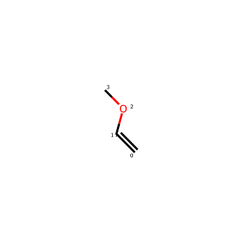 C=[C]OC